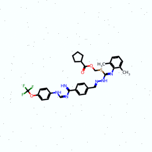 Cc1cccc(C)c1/N=C(/N/N=C/c1ccc(C(=N)/N=C\Nc2ccc(OC(F)(F)F)cc2)cc1)SCOC(=O)C1CCCC1